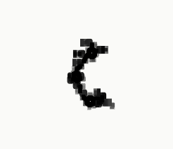 NS(=O)(=O)Nc1cccc(COCCOc2ccc(CCNC[C@H](O)c3ccc(O)c(CO)c3)cc2)c1.O=CO